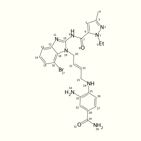 CCn1nc(C)cc1C(=O)Nc1nc2cccc(Br)c2n1C/C=C/CNc1ccc(C(N)=O)cc1N